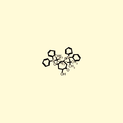 CC(C)(C)[Si](OC1CC(=O)C(O)CC(O[Si](c2ccccc2)(c2ccccc2)C(C)(C)C)C1)(c1ccccc1)c1ccccc1